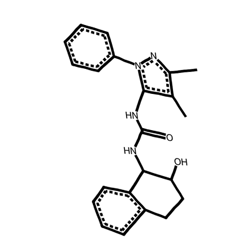 Cc1nn(-c2ccccc2)c(NC(=O)NC2c3ccccc3CCC2O)c1C